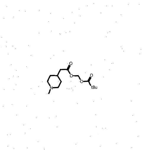 CN1CCC(CC(=O)OCOC(=O)C(C)(C)C)CC1